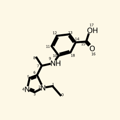 CCn1cncc1C(C)Nc1cccc(C(=O)O)c1